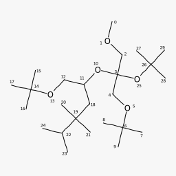 COCC(COC(C)(C)C)(OC(COC(C)(C)C)CC(C)(C)C(C)C)OC(C)(C)C